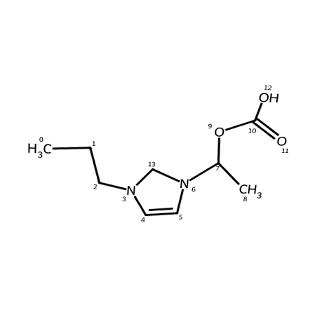 CCCN1C=CN(C(C)OC(=O)O)C1